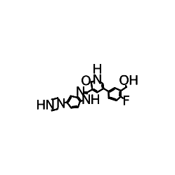 O=c1[nH]cc(-c2ccc(F)c(CO)c2)cc1-c1nc2cc(N3CCNCC3)ccc2[nH]1